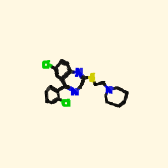 Clc1ccc2c(c1)C(c1ccccc1Cl)=NCC(SCCN1CCCCCC1)=N2